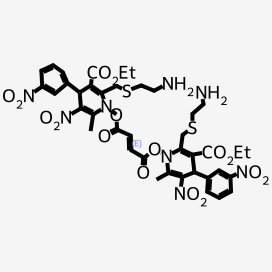 CCOC(=O)C1=C(CSCCN)N(OC(=O)/C=C/C(=O)ON2C(C)=C([N+](=O)[O-])C(c3cccc([N+](=O)[O-])c3)C(C(=O)OCC)=C2CSCCN)C(C)=C([N+](=O)[O-])C1c1cccc([N+](=O)[O-])c1